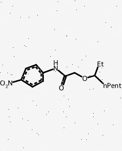 CCCCCC(CC)OCC(=O)Nc1ccc([N+](=O)[O-])cc1